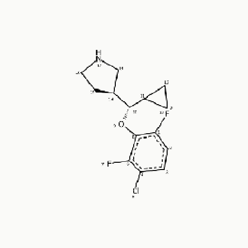 Fc1ccc(Cl)c(F)c1O[C@@H](C1CC1)[C@H]1CCNC1